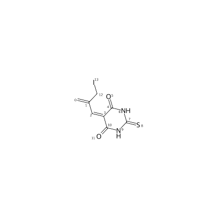 C=C(C=C1C(=O)NC(=S)NC1=O)CI